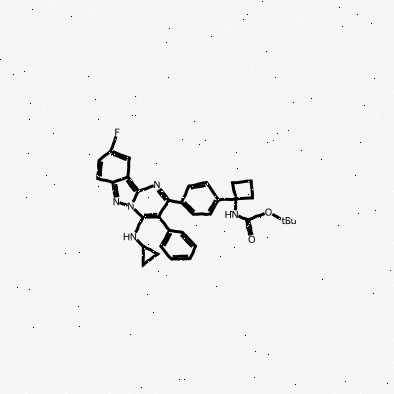 CC(C)(C)OC(=O)NC1(c2ccc(-c3nc4c5cc(F)ccc5nn4c(NC4CC4)c3-c3ccccc3)cc2)CCC1